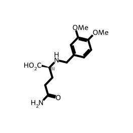 COc1ccc(CN[C@@H](CCC(N)=O)C(=O)O)cc1OC